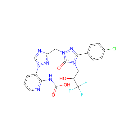 O=C(O)Nc1ncccc1-n1cnc(Cn2nc(-c3ccc(Cl)cc3)n(C[C@H](O)C(F)(F)F)c2=O)n1